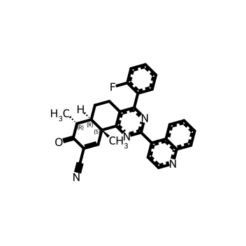 C[C@H]1C(=O)C(C#N)=C[C@@]2(C)c3nc(-c4ccnc5ccccc45)nc(-c4ccccc4F)c3CC[C@H]12